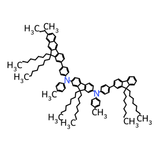 CCCCCCCCC1(CCCCCCCC)c2ccccc2-c2ccc(-c3ccc(N(c4ccc(C)cc4)c4ccc5c(c4)C(CCCCCCCC)(CCCCCCCC)c4cc(N(c6ccc(C)cc6)c6ccc(-c7ccc8c(c7)C(CCCCCCCC)(CCCCCCCC)c7cc9cc(C(C)CC)ccc9cc7-8)cc6)ccc4-5)cc3)cc21